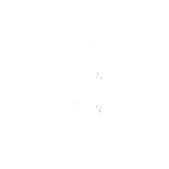 CC(C)C(=O)NC1CCN(c2cccc3c2CCO3)C1